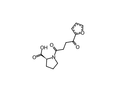 O=C(CCC(=O)N1CCC[C@H]1C(=O)O)c1ccco1